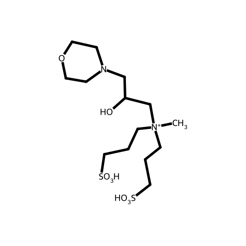 C[N+](CCCS(=O)(=O)O)(CCCS(=O)(=O)O)CC(O)CN1CCOCC1